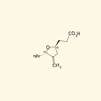 C=C1C[C@H](CCC(=O)O)O[C@H]1CCC